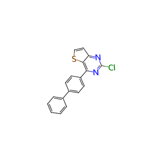 Clc1nc(-c2ccc(-c3ccccc3)cc2)c2sccc2n1